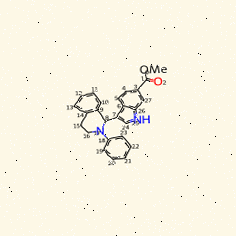 COC(=O)c1ccc2c(C3c4ccccc4CCN3c3ccccc3)c[nH]c2c1